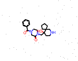 O=C1CN(C(=O)c2ccccc2)CCN1CC1(O)CCNCC12CCCC2